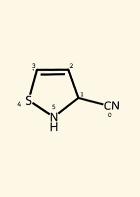 N#CC1C=[C]SN1